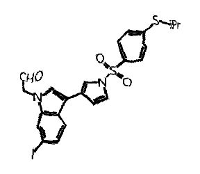 CC(C)Sc1ccc(S(=O)(=O)n2ccc(-c3cn(CC=O)c4cc(I)ccc34)c2)cc1